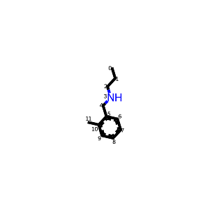 CCCNCc1ccccc1C